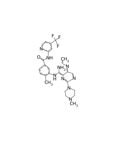 C=C/N=C1/C=NC(N2CCN(C)CC2)=N/C1=C(/N)Nc1cc(C(=O)Nc2cc(C(F)(F)F)ccn2)ccc1C